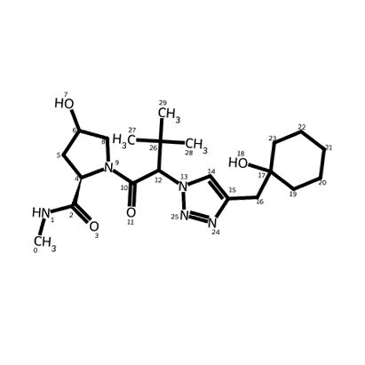 CNC(=O)[C@H]1CC(O)CN1C(=O)C(n1cc(CC2(O)CCCCC2)nn1)C(C)(C)C